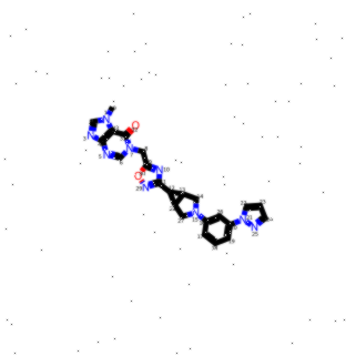 Cn1cnc2ncn(Cc3nc(C4C5CN(c6cccc(-n7cccn7)c6)CC54)no3)c(=O)c21